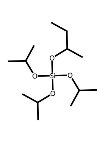 CCC(C)O[Si](OC(C)C)(OC(C)C)OC(C)C